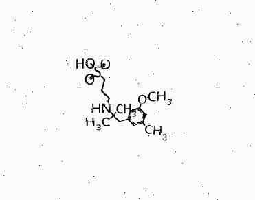 COc1cc(C)cc(CC(C)(C)NCCCS(=O)(=O)O)c1